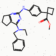 CCN(Cc1ccccc1)c1nc(Nc2ccc(C3(C(=O)OC)CCC3)cc2)nc2c1CCC2